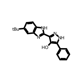 CC(C)(C)c1ccc2[nH]c(-c3n[nH]c(-c4ccccc4)c3O)nc2c1